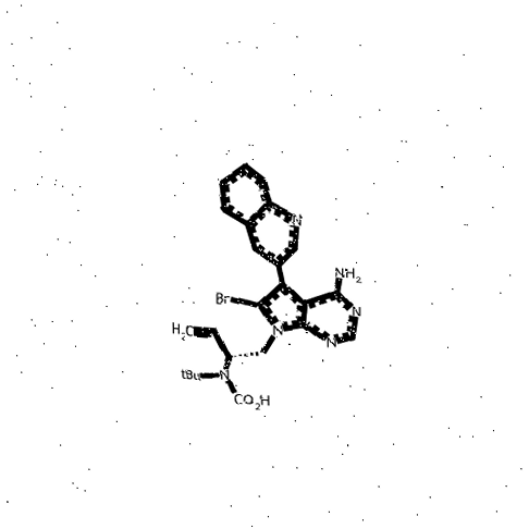 C=C[C@H](Cn1c(Br)c(-c2cnc3ccccc3c2)c2c(N)ncnc21)N(C(=O)O)C(C)(C)C